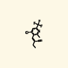 C#C/C(=C\c1c(Cl)cc(C(F)(F)F)nc1C)CC